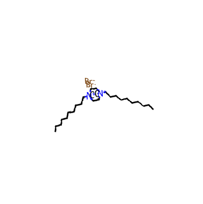 CCCCCCCCCC[N+]12CC[N+](CCCCCCCCCC)(CC1)CC2.[Br-].[Br-]